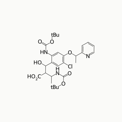 CC(Oc1cc(NC(=O)OC(C)(C)C)c(C(O)C(C(=O)O)C(C)NC(=O)OC(C)(C)C)cc1Cl)c1ccccn1